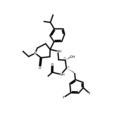 CCN1CCC(NC[C@H](O)[C@H](Cc2cc(F)cc(F)c2)NC(C)=O)(c2cccc(C(C)C)c2)CC1=O